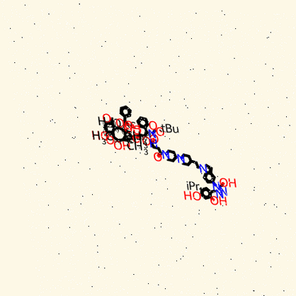 CC(=O)O[C@@]12CO[C@@H]1C[C@H](O)[C@@]1(C)C(=O)[C@H](O)C3=C(C)[C@@H](OC(=O)[C@H](OC(=O)CCC(=O)N4CCC(N5CCC(CCn6ccc7cc(-n8c(O)nnc8-c8cc(C(C)C)c(O)cc8O)ccc76)CC5)CC4)[C@@H](NC(=O)OC(C)(C)C)c4ccccc4)C[C@@](O)([C@@H](OC(=O)c4ccccc4)[C@H]21)C3(C)C